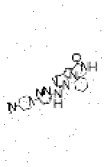 CN(C)C1CCN(c2ccc(Nc3ncc4cc5n(c4n3)C3(CCCCC3)CNC5=O)nn2)CC1